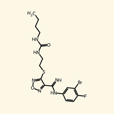 CCCCNC(=O)NCCSc1nonc1C(=N)Nc1ccc(F)c(Br)c1